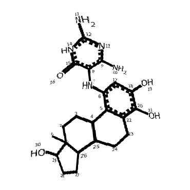 CC12CCC3c4c(Nc5c(N)nc(N)[nH]c5=O)cc(O)c(O)c4CCC3C1CCC2O